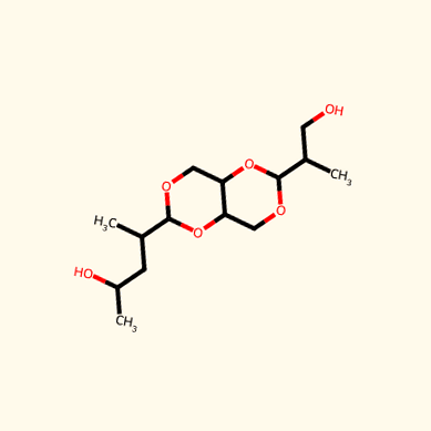 CC(O)CC(C)C1OCC2OC(C(C)CO)OCC2O1